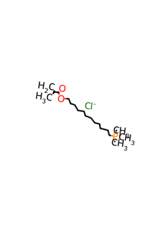 C=C(C)C(=O)OCCCCCCCCCCCC[P+](C)(C)C.[Cl-]